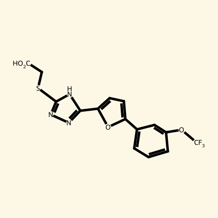 O=C(O)CSc1nnc(-c2ccc(-c3cccc(OC(F)(F)F)c3)o2)[nH]1